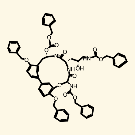 O=C(NC[C@H](O)C[C@@H]1NC(=O)[C@@H](NC(=O)OCc2ccccc2)Cc2cc(ccc2OCc2ccccc2)-c2ccc(OCc3ccccc3)c(c2)C[C@H](OC(=O)OCc2ccccc2)NC1=O)OCc1ccccc1